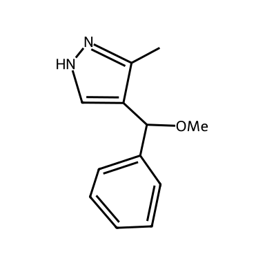 COC(c1ccccc1)c1c[nH]nc1C